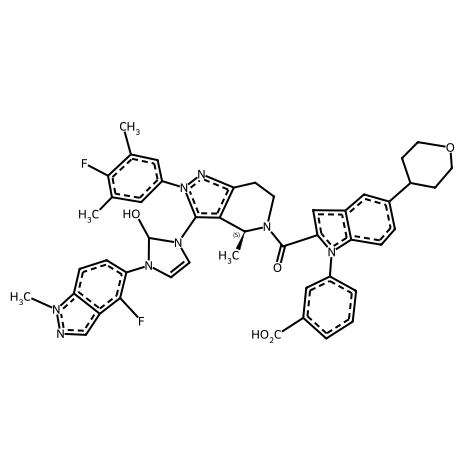 Cc1cc(-n2nc3c(c2N2C=CN(c4ccc5c(cnn5C)c4F)C2O)[C@H](C)N(C(=O)c2cc4cc(C5CCOCC5)ccc4n2-c2cccc(C(=O)O)c2)CC3)cc(C)c1F